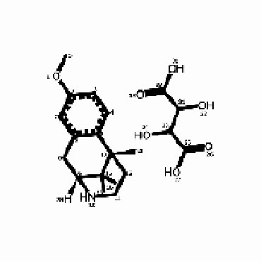 COc1ccc2c(c1)C[C@H]1NCC[C@]2(C)C1(C)C.O=C(O)C(O)C(O)C(=O)O